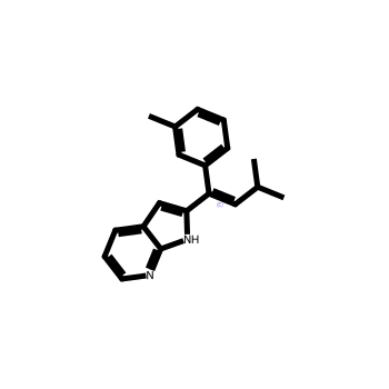 Cc1cccc(/C(=C\C(C)C)c2cc3cccnc3[nH]2)c1